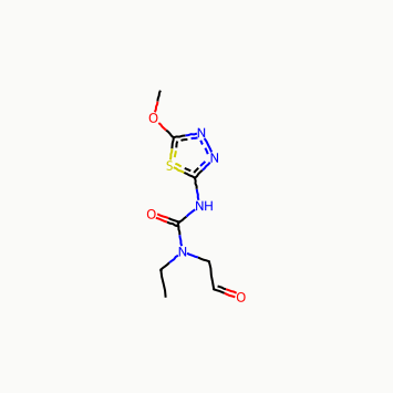 CCN(CC=O)C(=O)Nc1nnc(OC)s1